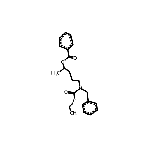 CCOC(=O)N(CCCC(C)OC(=O)c1ccccc1)Cc1ccccc1